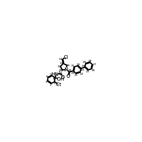 CCC1C=CC=CC1(O)NC(=O)[C@@H]1CC(=CCl)CN1C(=O)c1ccc(-c2ccccc2)cc1